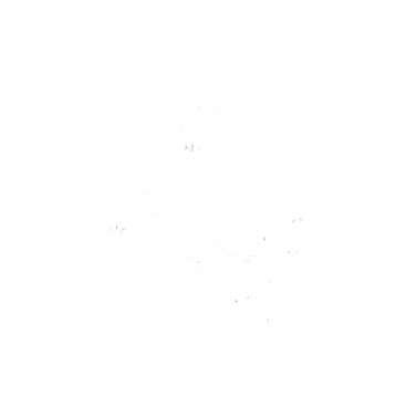 CCCC(N)Nc1nc(N)nc2cn(Cc3ccc(CNCC4COC4)cc3OC)nc12